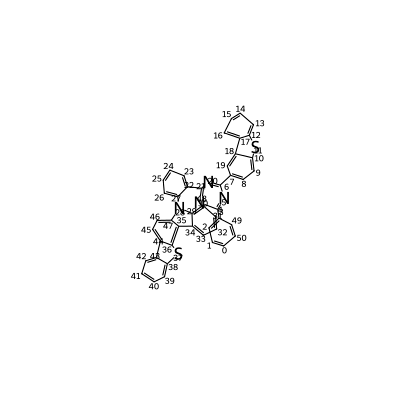 c1ccc(-c2nc(-c3ccc4sc5ccccc5c4c3)nc(-c3ccccc3-n3c4ccccc4c4c5sc6ccccc6c5ccc43)n2)cc1